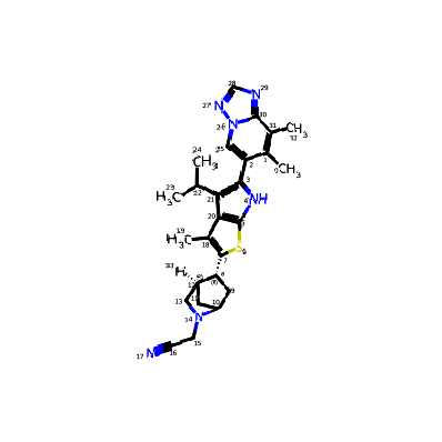 Cc1c(-c2[nH]c3sc([C@@H]4CC5C[C@H]4CN5CC#N)c(C)c3c2C(C)C)cn2ncnc2c1C